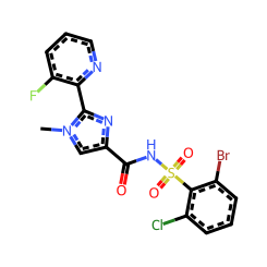 Cn1cc(C(=O)NS(=O)(=O)c2c(Cl)cccc2Br)nc1-c1ncccc1F